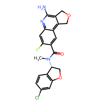 CN(C(=O)c1cc2c3c(c(N)nc2cc1F)COC3)[C@@H]1COc2cc(Cl)ccc21